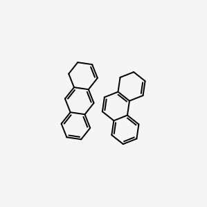 C1=Cc2c(ccc3ccccc23)CC1.C1=Cc2cc3ccccc3cc2CC1